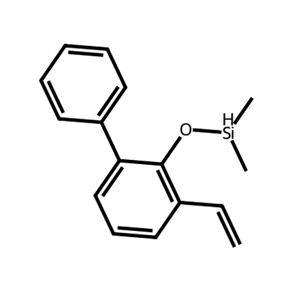 C=Cc1cccc(-c2ccccc2)c1O[SiH](C)C